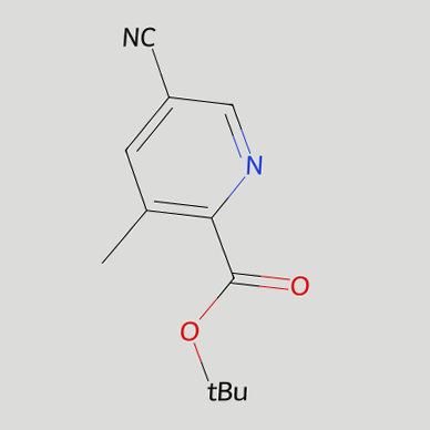 Cc1cc(C#N)cnc1C(=O)OC(C)(C)C